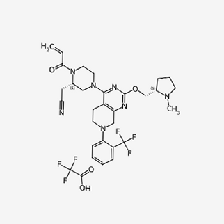 C=CC(=O)N1CCN(c2nc(OC[C@@H]3CCCN3C)nc3c2CCN(c2ccccc2C(F)(F)F)C3)C[C@@H]1CC#N.O=C(O)C(F)(F)F